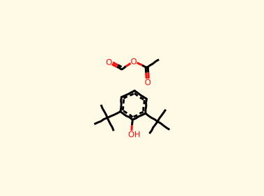 CC(=O)OC=O.CC(C)(C)c1cccc(C(C)(C)C)c1O